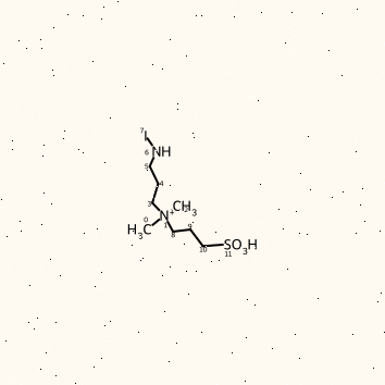 C[N+](C)(CCCNI)CCCS(=O)(=O)O